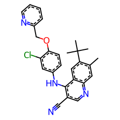 Cc1cc2ncc(C#N)c(Nc3ccc(OCc4ccccn4)c(Cl)c3)c2cc1C(C)(C)C